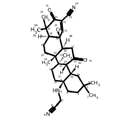 CC1(C)CC[C@]2(NCC#N)CC[C@]3(C)[C@H](C(=O)C[C@@H]4[C@@]5(C)C=C(C#N)C(=O)C(C)(C)[C@@H]5CC[C@]43C)[C@@H]2C1